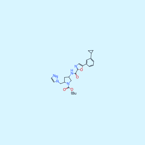 CC(C)(C)OC(=O)N1CC(NC(=O)c2ncc(-c3cccc(C4CC4)c3)o2)CC1Cn1ccnn1